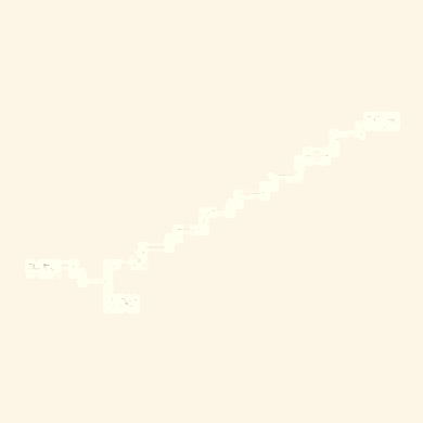 CCCCCCCCCCCCC(CCCCCCCC)CCCCCCCCCCCCCCCCC(=O)O